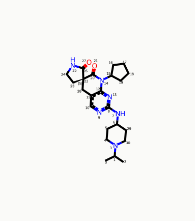 CC(C)N1CCC(Nc2ncc3c(n2)N(C2CCCC2)C(=O)[C@]2(CCNC2=O)C3)CC1